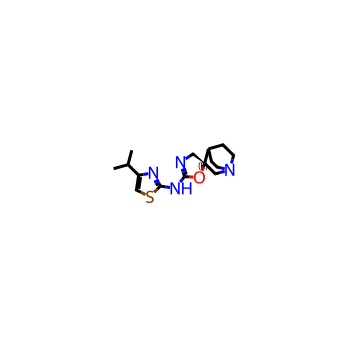 CC(C)c1csc(NC2=NC[C@@]3(CN4CCC3CC4)O2)n1